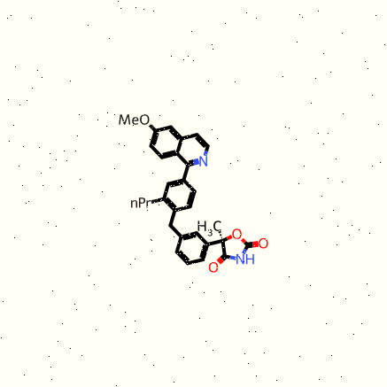 CCCc1cc(-c2nccc3cc(OC)ccc23)ccc1Cc1cccc([C@@]2(C)OC(=O)NC2=O)c1